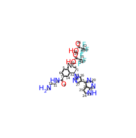 N#CCC(c1cccc(C(=O)NCCN)c1)n1cc(-c2ncnc3[nH]ccc23)cn1.O=C(O)C(F)(F)F.O=C(O)C(F)(F)F